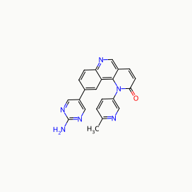 Cc1ccc(-n2c(=O)ccc3cnc4ccc(-c5cnc(N)nc5)cc4c32)cn1